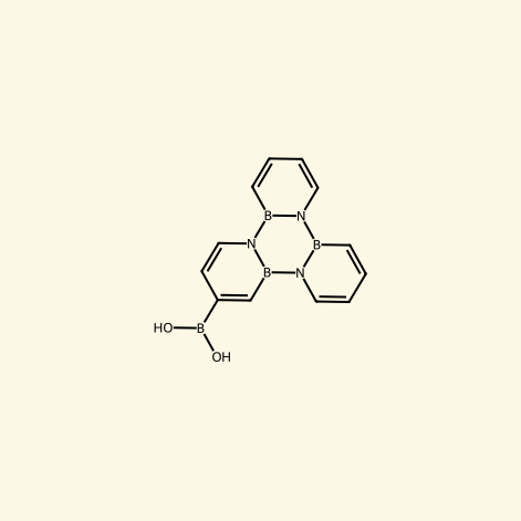 OB(O)C1=CB2N3C=CC=CB3N3C=CC=CB3N2C=C1